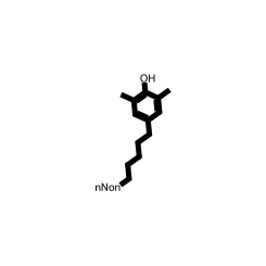 CCCCCCCCCCCCCCc1cc(C)c(O)c(C)c1